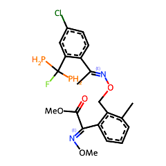 CO/N=C(/C(=O)OC)c1cccc(C)c1CO/N=C(\C)c1ccc(Cl)cc1C(F)(P)P